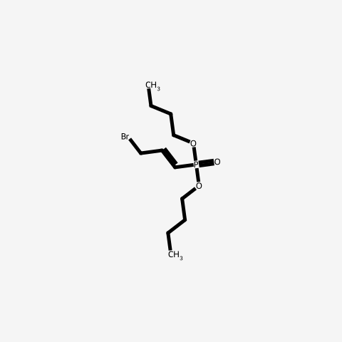 CCCCOP(=O)(C=CCBr)OCCCC